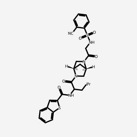 CC(C)CC(NC(=O)c1cc2ccccc2s1)C(=O)N1C[C@@H]2C[C@H]1CN2C(=O)CNS(=O)(=O)c1ccccc1C#N